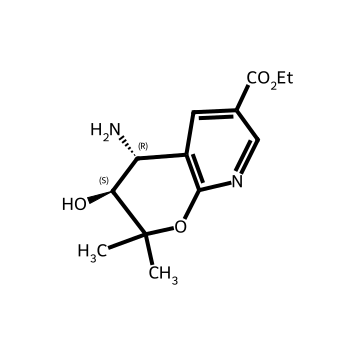 CCOC(=O)c1cnc2c(c1)[C@@H](N)[C@H](O)C(C)(C)O2